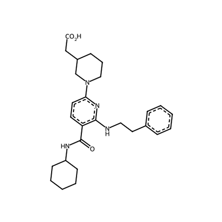 O=C(O)CC1CCCN(c2ccc(C(=O)NC3CCCCC3)c(NCCc3ccccc3)n2)C1